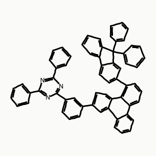 c1ccc(-c2nc(-c3ccccc3)nc(-c3cccc(-c4ccc5c(c4)c4ccccc4c4cccc(-c6ccc7c(c6)C(c6ccccc6)(c6ccccc6)c6ccccc6-7)c45)c3)n2)cc1